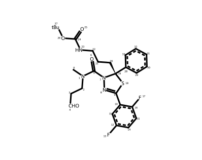 CN(CCC=O)C(=O)N1N=C(c2cc(F)ccc2F)S[C@@]1(CCCNC(=O)OC(C)(C)C)c1ccccc1